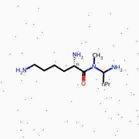 CCCC(N)N(C)C(=O)[C@@H](N)CCCCN